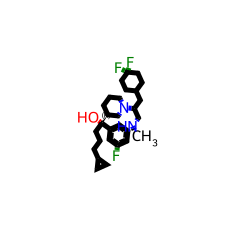 CNCC(CC1CCC(F)(F)CC1)N1CCC[C@@H](C(O)(CCCC2CC2)c2cccc(F)c2)C1